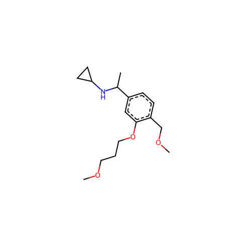 COCCCOc1cc(C(C)NC2CC2)ccc1COC